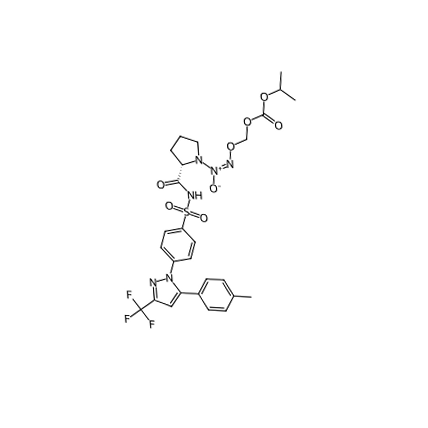 Cc1ccc(-c2cc(C(F)(F)F)nn2-c2ccc(S(=O)(=O)NC(=O)[C@@H]3CCCN3/[N+]([O-])=N\OCOC(=O)OC(C)C)cc2)cc1